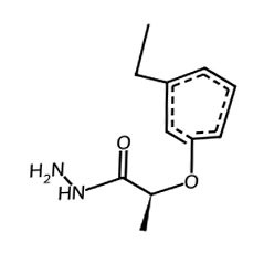 CCc1cccc(O[C@@H](C)C(=O)NN)c1